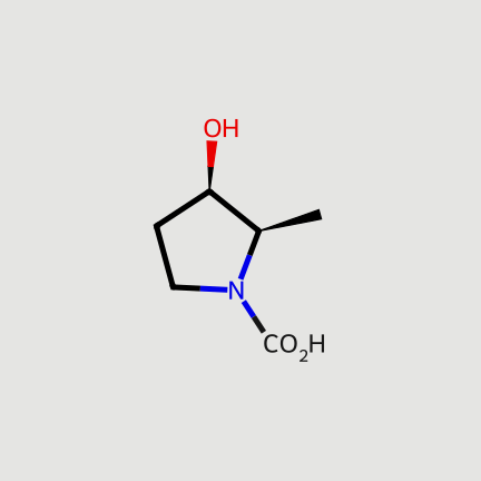 C[C@@H]1[C@H](O)CCN1C(=O)O